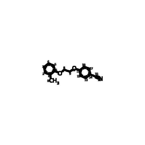 Cc1ccccc1OCCOc1ccc(C#N)cc1